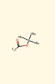 CCCC[Si](CCCC)(CCCC)OC(=O)C(F)(F)F